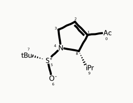 CC(=O)C1=CCN([S@+]([O-])C(C)(C)C)[C@H]1C(C)C